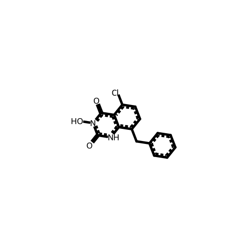 O=c1[nH]c2c(Cc3ccccc3)ccc(Cl)c2c(=O)n1O